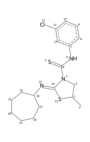 CC1CN(C(=S)Nc2cccc(Cl)c2)C(=NC2CCCCCC2)S1